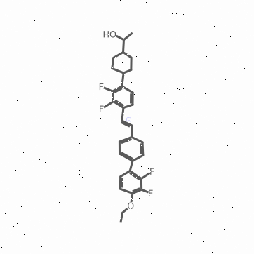 CCOc1ccc(-c2ccc(/C=C/c3ccc(C4CCC(C(C)O)CC4)c(F)c3F)cc2)c(F)c1F